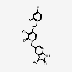 CC(=O)n1c(=O)[nH]c2ccc(Cn3ccc(OCc4ccc(F)cc4F)c(Cl)c3=O)cc21